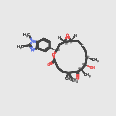 Cc1nc2cc([C@@H]3C[C@@H]4O[C@H]4CCC[C@H](C)[C@H](O)[C@@H](C)C(=O)C(C)(C)CCC(=O)O3)ccc2n1C